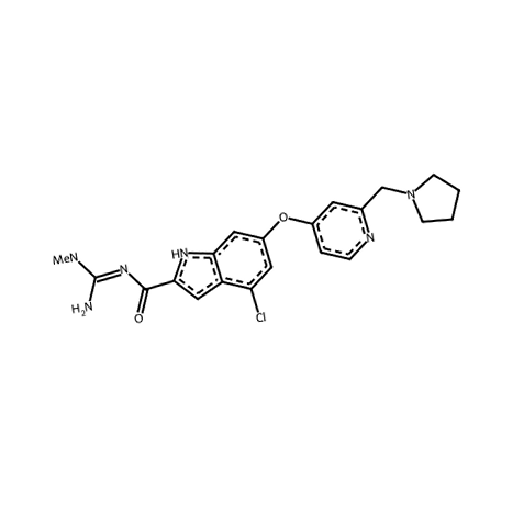 CNC(N)=NC(=O)c1cc2c(Cl)cc(Oc3ccnc(CN4CCCC4)c3)cc2[nH]1